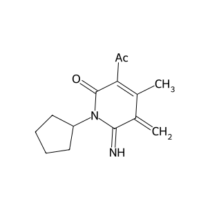 C=C1C(=N)N(C2CCCC2)C(=O)C(C(C)=O)=C1C